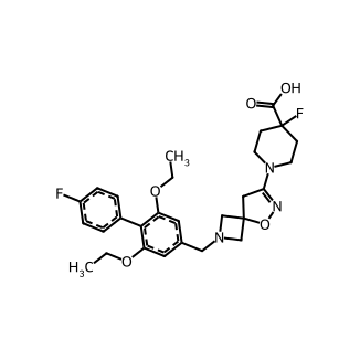 CCOc1cc(CN2CC3(CC(N4CCC(F)(C(=O)O)CC4)=NO3)C2)cc(OCC)c1-c1ccc(F)cc1